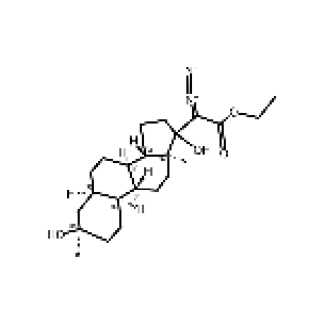 CCOC(=O)C(=[N+]=[N-])C1(O)CC[C@H]2[C@@H]3CC[C@@H]4C[C@](C)(O)CC[C@@H]4[C@H]3CC[C@@]21C